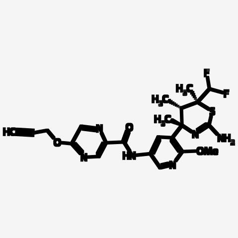 C#CCOc1cnc(C(=O)Nc2cnc(OC)c([C@@]3(C)N=C(N)S[C@](C)(C(F)F)[C@H]3C)c2)cn1